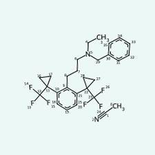 CC#N.CCN(CCCc1c(C2(C(F)(F)F)CC2)cccc1C1(C(F)(F)F)CC1)Cc1ccccc1